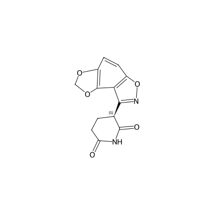 O=C1CC[C@@H](c2noc3ccc4c(c23)OCO4)C(=O)N1